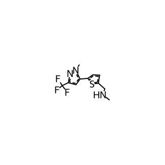 CNCc1ccc(-c2cc(C(F)(F)F)nn2C)s1